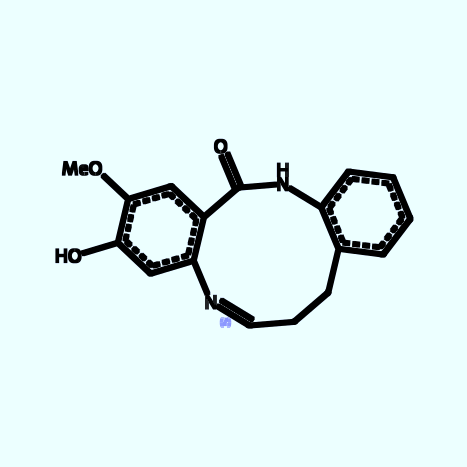 COc1cc2c(cc1O)/N=C\CCc1ccccc1NC2=O